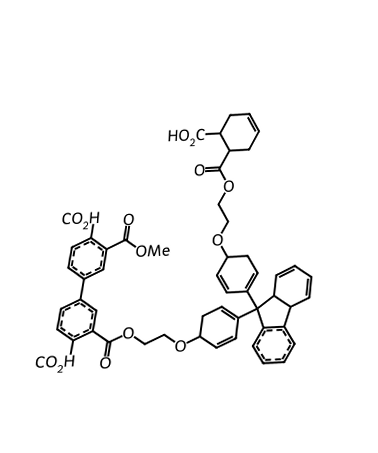 COC(=O)c1cc(-c2ccc(C(=O)O)c(C(=O)OCCOC3C=CC(C4(C5=CCC(OCCOC(=O)C6CC=CCC6C(=O)O)C=C5)c5ccccc5C5C=CC=CC54)=CC3)c2)ccc1C(=O)O